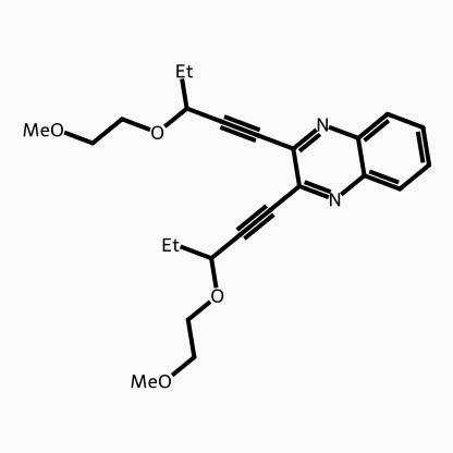 CCC(C#Cc1nc2ccccc2nc1C#CC(CC)OCCOC)OCCOC